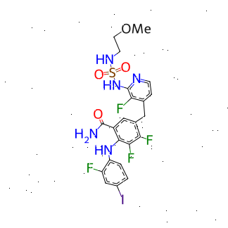 COCCNS(=O)(=O)Nc1nccc(Cc2cc(C(N)=O)c(Nc3ccc(I)cc3F)c(F)c2F)c1F